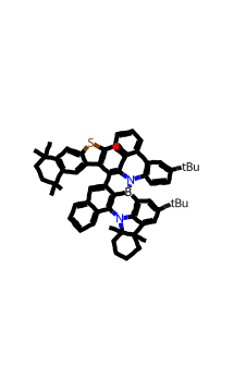 CC(C)(C)c1ccc(N2B3c4cc(C(C)(C)C)cc5c4N(c4c3c(cc3ccccc43)-c3c2ccc2sc4cc6c(cc4c32)C(C)(C)CCC6(C)C)C2(C)CCCCC52C)c(-c2ccccc2)c1